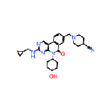 N#CC1CCN(Cc2ccc3c(c2)c(=O)n([C@H]2CC[C@@H](O)CC2)c2nc(NCC4CC4)ncc32)CC1